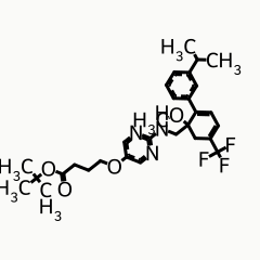 COC1(CNc2ncc(OCCCC(=O)OC(C)(C)C)cn2)CC(C(F)(F)F)=CC=C1c1cccc(C(C)C)c1